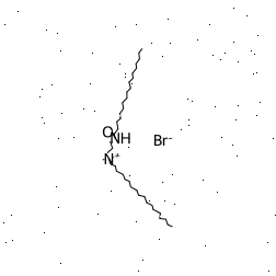 CCCCCCCCCCCCCCCCCC[N+](C)(C)CCCNC(=O)CCCCCCCCCCCCCCCCC.[Br-]